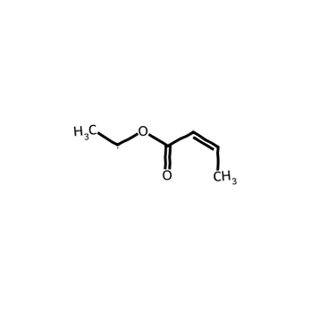 C[CH]OC(=O)/C=C\C